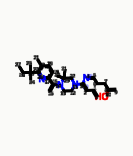 C=C/C=C(\N=C/CCC(=C)O)N1CCN(C(=C)c2ccc(C)c(C(C)(C)CC)n2)C(C)(C)C1